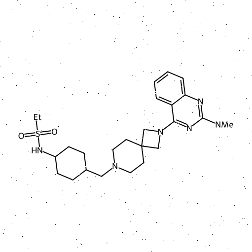 CCS(=O)(=O)NC1CCC(CN2CCC3(CC2)CN(c2nc(NC)nc4ccccc24)C3)CC1